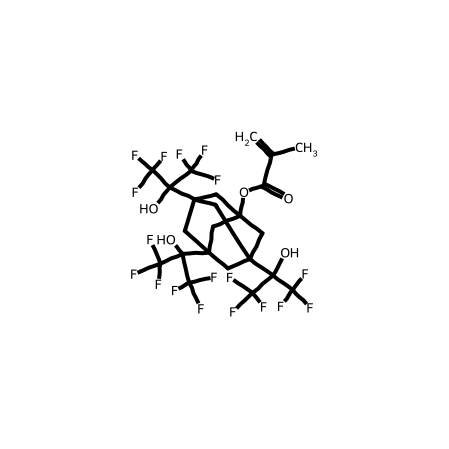 C=C(C)C(=O)OC12CC3(C(O)(C(F)(F)F)C(F)(F)F)CC(C(O)(C(F)(F)F)C(F)(F)F)(C1)CC(C(O)(C(F)(F)F)C(F)(F)F)(C2)C3